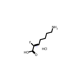 Cl.NCCCC/C=C(\F)C(=O)O